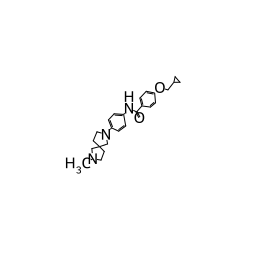 CN1CCC2(CCN(c3ccc(NC(=O)c4ccc(OCC5CC5)cc4)cc3)C2)C1